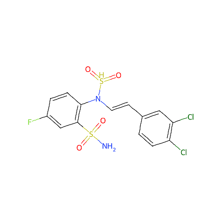 NS(=O)(=O)c1cc(F)ccc1N(C=Cc1ccc(Cl)c(Cl)c1)[SH](=O)=O